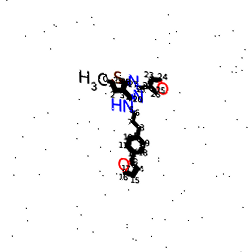 Cc1cc2c(NCCCc3ccc(-c4ccco4)cc3)nc(-c3ccoc3)nc2s1